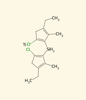 CCC1=C(C)C([SiH2]C2=C(Cl)CC(CC)=C2C)=C(Cl)C1.[Ti]